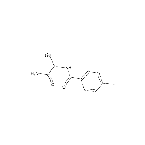 Cc1ccc(C(=O)NC(C(N)=O)C(C)(C)C)cc1